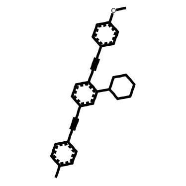 COc1ccc(C#Cc2ccc(C#Cc3ccc(C)cc3)cc2C2CCCCC2)cc1